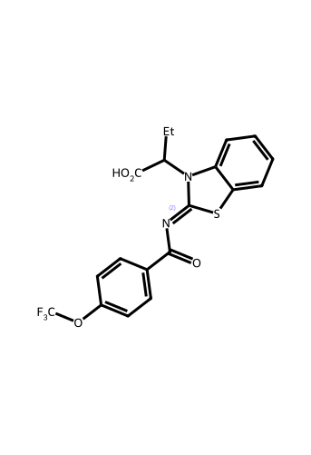 CCC(C(=O)O)n1/c(=N/C(=O)c2ccc(OC(F)(F)F)cc2)sc2ccccc21